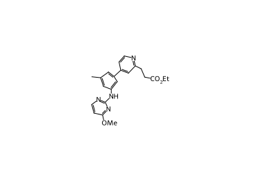 CCOC(=O)CCc1cc(-c2cc(C)cc(Nc3nccc(OC)n3)c2)ccn1